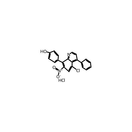 Cl.O=[N+]([O-])c1cc(Cl)c2c(-c3ccccc3)ccnc2c1-c1ccc(O)cc1